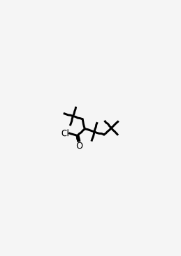 CC(C)(C)CC(C(=O)Cl)C(C)(C)CC(C)(C)C